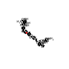 COc1c(OCCCN2CCN(C(=O)Oc3ccc(N4CCN(C(=O)c5ccc(N(C(=N)c6cc(C(C)C)c(O)cc6O)C(N)=O)cc5)CC4)cc3)CC2)ccc2c1N=C(NC(=O)c1cnc(N)nc1)N1CCN=C21